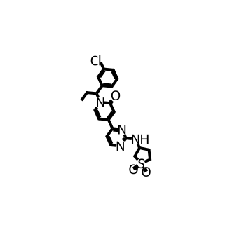 CCC(c1cccc(Cl)c1)n1ccc(-c2ccnc(NC3CCS(=O)(=O)C3)n2)cc1=O